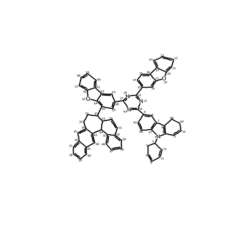 C1=CCC(n2c3c(c4cc(-c5nc(-c6ccc7c(c6)oc6ccccc67)nc(-c6cc(C7CCc8cc9ccccc9cc8C8c9ccccc9C=CC78)c7oc8ccccc8c7c6)n5)ccc42)CCC=C3)C=C1